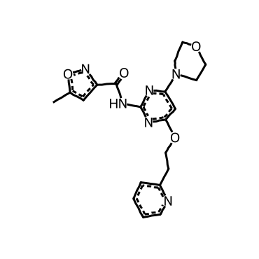 Cc1cc(C(=O)Nc2nc(OCCc3ccccn3)cc(N3CCOCC3)n2)no1